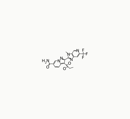 CCS(=O)(=O)c1c(-c2nc3cc(C(F)(F)F)ncc3n2C)nn2cc(C(N)=O)ccc12